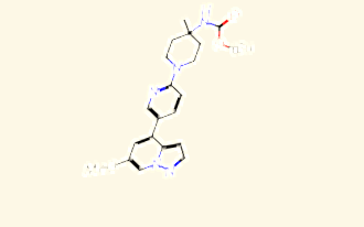 COc1cc(-c2ccc(N3CCC(C)(NC(=O)OC(C)(C)C)CC3)nc2)c2ccnn2c1